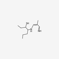 CCCC(N/C=C(/C)C=N)C(S)CC